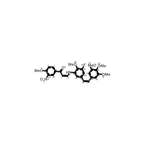 COc1ccc(C(=O)/C=C\Nc2cc(/C=C\c3cc(OC)c(OC)c(OC)c3)cc(F)c2OC)cc1[N+](=O)[O-]